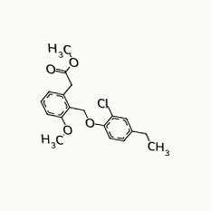 CCc1ccc(OCc2c(CC(=O)OC)cccc2OC)c(Cl)c1